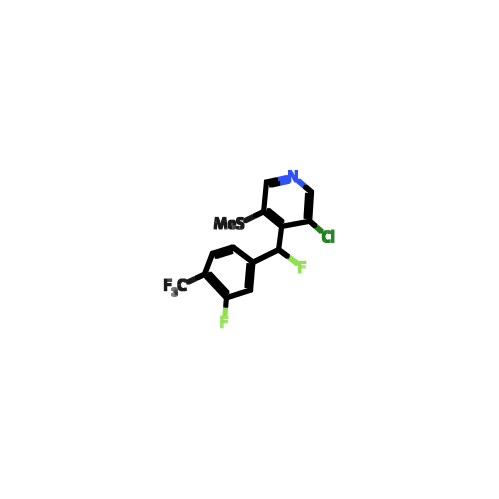 CSc1cncc(Cl)c1C(F)c1ccc(C(F)(F)F)c(F)c1